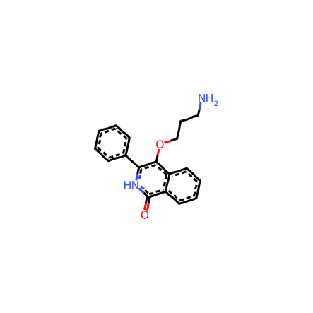 NCCCOc1c(-c2ccccc2)[nH]c(=O)c2ccccc12